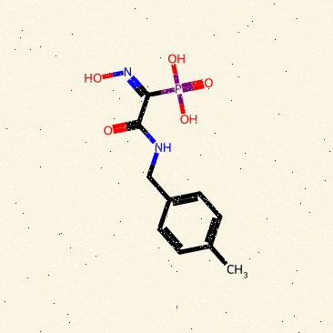 Cc1ccc(CNC(=O)/C(=N\O)P(=O)(O)O)cc1